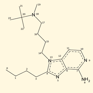 CCCCc1nc2c(N)nccc2n1CCCCN(C)C(C)(C)C